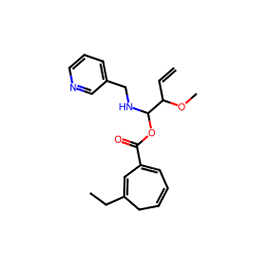 C=CC(OC)C(NCc1cccnc1)OC(=O)C1=CC=CCC(CC)=C1